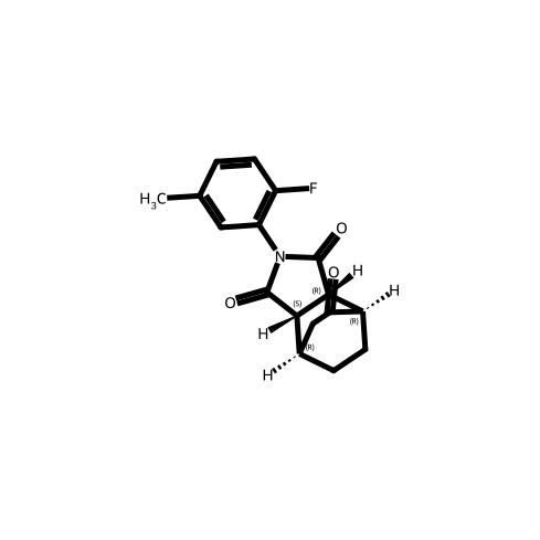 Cc1ccc(F)c(N2C(=O)[C@H]3[C@@H]4CC[C@@H](C(=O)C4)[C@H]3C2=O)c1